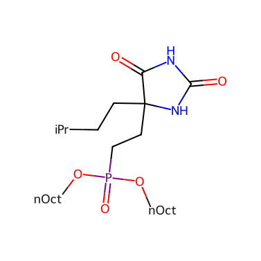 CCCCCCCCOP(=O)(CCC1(CCC(C)C)NC(=O)NC1=O)OCCCCCCCC